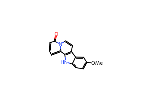 COc1ccc2[nH]c3c(ccn4c(=O)cccc34)c2c1